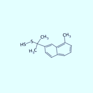 Cc1cccc2ccc(C(C)(C)SS)cc12